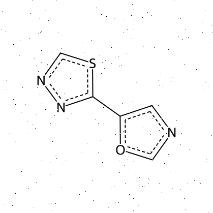 c1ncc(-c2nncs2)o1